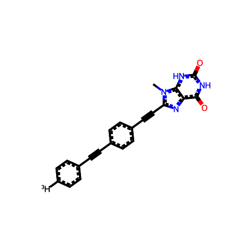 [3H]c1ccc(C#Cc2ccc(C#Cc3nc4c(=O)[nH]c(=O)[nH]c4n3C)cc2)cc1